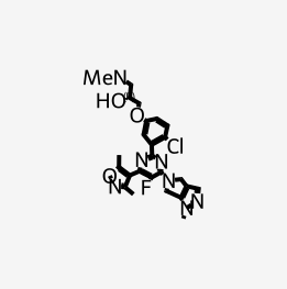 CNC[C@@H](O)COc1ccc(Cl)c(-c2nc(-c3c(C)noc3C)c(F)c(N3Cc4cnn(C)c4C3)n2)c1